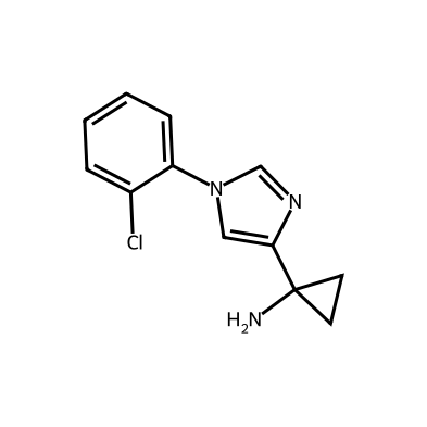 NC1(c2cn(-c3ccccc3Cl)cn2)CC1